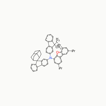 CC(C)c1cc(C(C)C)c2oc3c(N(c4ccc5c(c4)C(C)(C)c4ccccc4-5)c4ccc5c(c4)C4(c6ccccc6-5)C5CC6CC(C5)CC4C6)cc(C(C)C)cc3c2c1